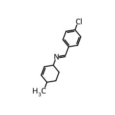 CC1C=CC(/N=C/c2ccc(Cl)cc2)CC1